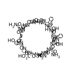 CCCC[C@H]1C(=O)N(C)[C@@H](CCCC)C(=O)N[C@@H](C)C(=O)N[C@H](C(=O)NCC(N)=O)CSCC(=O)N[C@@H](Cc2ccc(O)cc2)C(=O)N2CCCCC2C(=O)N[C@@H](CC(=O)O)C(=O)N2CCC[C@H]2C(=O)N[C@@H](CN)C(=O)NC(CCC(N)=O)C(=O)N2C[C@H](O)C[C@H]2C(=O)N[C@@H](Cc2c[nH]c3ccccc23)C(=O)N[C@@H](CO)C(=O)NC(Cc2csc3ccccc23)C(=O)N1C